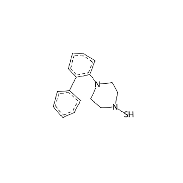 SN1CCN(c2ccccc2-c2ccccc2)CC1